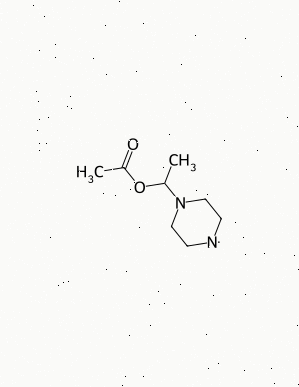 CC(=O)OC(C)N1CC[N]CC1